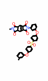 Cc1cccc(Oc2ccc(S(=O)(=O)c3ccc(Oc4cccc(N5C(=O)C6C7C=CC(C8C(=O)N(C)C(=O)C78)C6C5=O)c4)cc3)cc2)c1